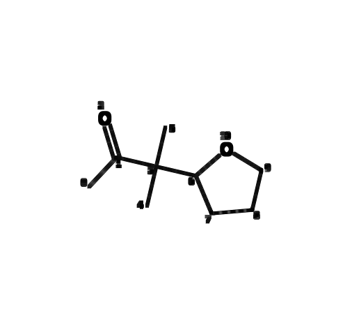 CC(=O)C(C)(C)C1CCCO1